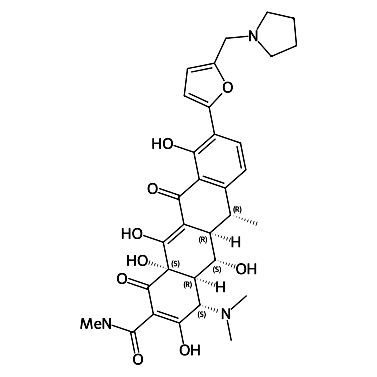 CNC(=O)C1=C(O)[C@@H](N(C)C)[C@@H]2[C@@H](O)[C@H]3C(=C(O)[C@]2(O)C1=O)C(=O)c1c(ccc(-c2ccc(CN4CCCC4)o2)c1O)[C@@H]3C